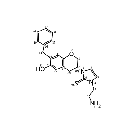 NCCn1ccn([C@H]2COc3cc(Cc4ccccc4)c(O)cc3C2)c1=S